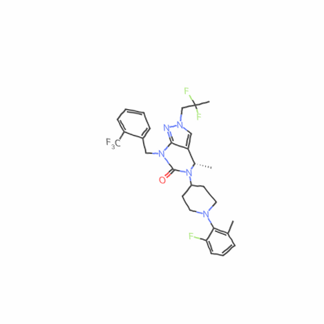 Cc1cccc(F)c1N1CCC(N2C(=O)N(Cc3ccccc3C(F)(F)F)c3nn(CC(C)(F)F)cc3[C@@H]2C)CC1